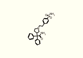 NC(=O)C(c1ccccc1)(c1ccccc1)C1CCN(CCc2ccc(S(N)(=O)=O)cc2)C1